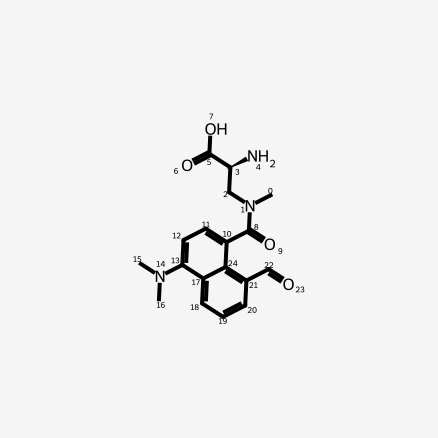 CN(C[C@H](N)C(=O)O)C(=O)c1ccc(N(C)C)c2cccc(C=O)c12